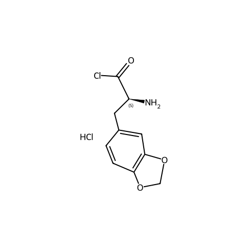 Cl.N[C@@H](Cc1ccc2c(c1)OCO2)C(=O)Cl